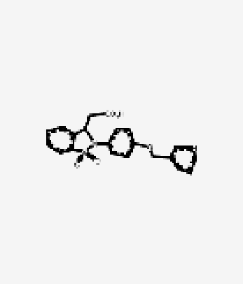 O=C(O)CC1c2ccccc2S(=O)(=O)N1c1ccc(OCc2cccnc2)cc1